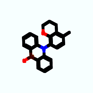 Cc1ccc(N2c3ccccc3[S+]([O-])c3ccccc32)c2c1CCCO2